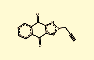 C#CCn1cc2c(n1)C(=O)c1ccccc1C2=O